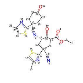 CCOC(=O)C1CC(C#N)(c2nc(C)cs2)CCC1=O.Cc1csc(C2(C#N)CCC(=O)CC2)n1